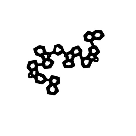 C1=CC(n2c3ccccc3c3c(-c4cccc5oc6ccc(-c7cccc8ccccc78)cc6c45)cccc32)=CC(n2c3ccccc3c3c(-c4cccc5oc6ccc(-c7cccc8ccccc78)cc6c45)cccc32)C1